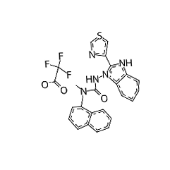 CN(C(=O)N[n+]1c(-c2cscn2)[nH]c2ccccc21)c1cccc2ccccc12.O=C([O-])C(F)(F)F